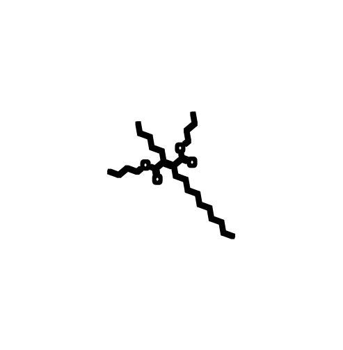 CCCCCCCCCCC(C(=O)OCCCC)=C(CCCCC)C(=O)OCCCC